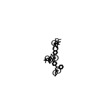 CCOC(=O)CC(c1ccccc1)c1ccc(NC(=O)N(CC(OCC)OCC)c2ccc3c(c2)CCN(C(=O)C(F)(F)F)CC3)cc1